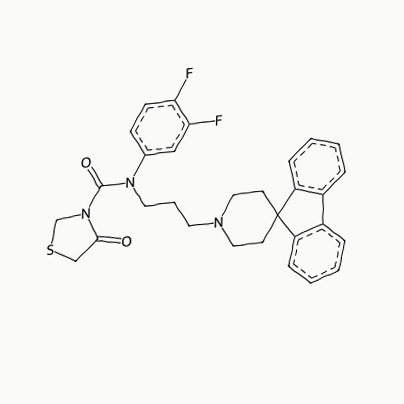 O=C1CSCN1C(=O)N(CCCN1CCC2(CC1)c1ccccc1-c1ccccc12)c1ccc(F)c(F)c1